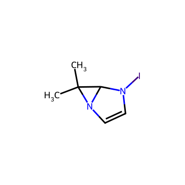 CC1(C)C2N(I)C=CN21